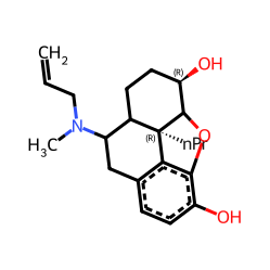 C=CCN(C)C1Cc2ccc(O)c3c2[C@@]2(CCC)C1CC[C@@H](O)C2O3